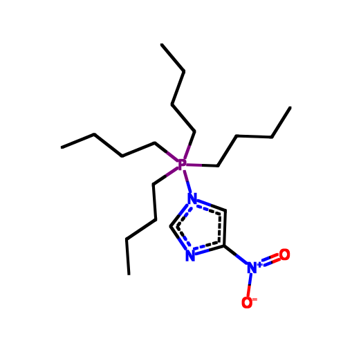 CCCCP(CCCC)(CCCC)(CCCC)n1cnc([N+](=O)[O-])c1